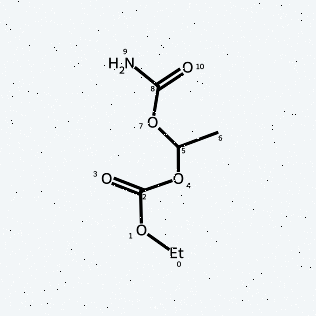 CCOC(=O)OC(C)OC(N)=O